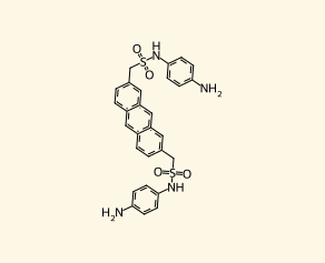 Nc1ccc(NS(=O)(=O)Cc2ccc3cc4ccc(CS(=O)(=O)Nc5ccc(N)cc5)cc4cc3c2)cc1